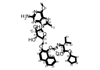 COc1nc(N)nc2c1nc(I)n2[C@@H]1O[C@H](COc2ccc3ccccc3c2O/[P+]([O-])=N/[C@H](C(=O)OC2CCCC2)C(C)C)[C@@H](O)[C@@]1(C)O